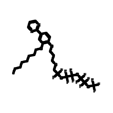 CCCCCCCCOc1cc(-c2ncccn2)ccc1OCCCOCC(F)(F)OC(F)(F)C(F)(F)OC(F)(F)C(F)(F)OC(F)(F)F